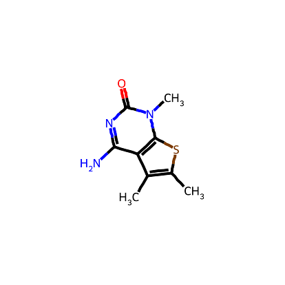 Cc1sc2c(c(N)nc(=O)n2C)c1C